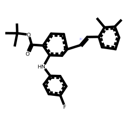 Cc1cccc(/C=C/c2ccc(C(=O)OC(C)(C)C)c(Nc3ccc(F)cc3)c2)c1C